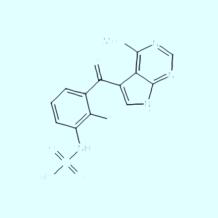 CCCS(=O)(=O)Nc1cccc(C(=O)c2c[nH]c3ncnc(OC)c23)c1F